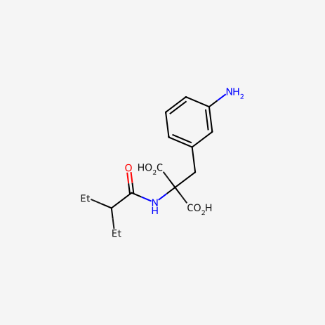 CCC(CC)C(=O)NC(Cc1cccc(N)c1)(C(=O)O)C(=O)O